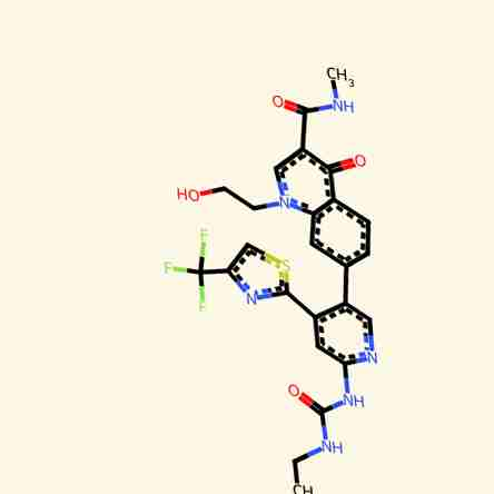 CCNC(=O)Nc1cc(-c2nc(C(F)(F)F)cs2)c(-c2ccc3c(=O)c(C(=O)NC)cn(CCO)c3c2)cn1